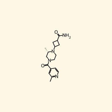 Cc1cc(C(=O)N2CCN(C3CC(C(N)=O)C3)[C@@H](C)C2)ccn1